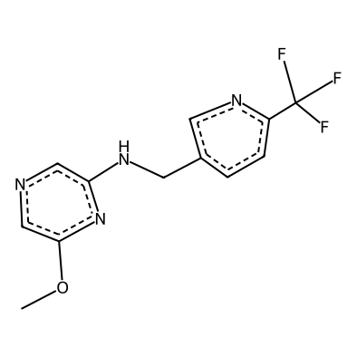 COc1cncc(NCc2ccc(C(F)(F)F)nc2)n1